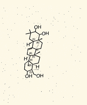 CC1(C)C[C@H]2C3=CC[C@@H]4[C@@]5(C)CCC(O)[C@](C)(CO)[C@@H]5CC[C@@]4(C)[C@]3(C)CC[C@@]2(C)C(O)C1O